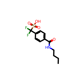 CCCCNC(=O)c1ccc(C(F)(F)S(=O)(=O)O)cc1